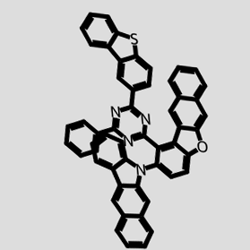 c1ccc(-c2nc(-c3ccc4sc5ccccc5c4c3)nc(-c3c(-n4c5ccccc5c5cc6ccccc6cc54)ccc4oc5cc6ccccc6cc5c34)n2)cc1